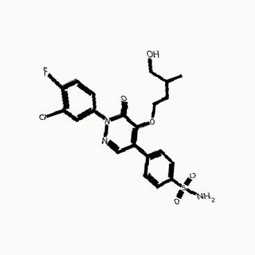 CC(CO)CCOc1c(-c2ccc(S(N)(=O)=O)cc2)cnn(-c2ccc(F)c(Cl)c2)c1=O